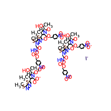 CSc1c2sc(C3=C(C(=O)OCc4ccc([N+](=O)[O-])cc4)N4C(=O)[C@H]([C@@H](C)O)[C@H]4[C@H]3C)c[n+]2cn1CC(=O)NOC(=O)OCc1ccc([N+](=O)[O-])cc1.CSc1c2sc(C3=C(C(=O)OCc4ccc([N+](=O)[O-])cc4)N4C(=O)[C@H]([C@@H](C)O)[C@H]4[C@H]3C)c[n+]2cn1CC(=O)NOC(=O)OCc1ccc([N+](=O)[O-])cc1.CSc1ncn2cc(C3=C(C(=O)[O-])N4C(=O)[C@H]([C@@H](C)O)[C@H]4[C@H]3C)sc12.[I-]